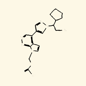 CC(C)(C)C(=O)OCn1ccc2c(-c3cnn(C(CC#N)C4CCCC4)c3)cnnc21